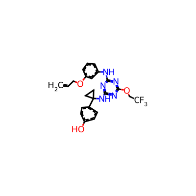 C=CCOc1cccc(Nc2nc(NC3(c4ccc(O)cc4)CC3)nc(OCC(F)(F)F)n2)c1